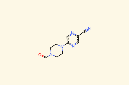 N#Cc1cnc(N2CCN(C=O)CC2)cn1